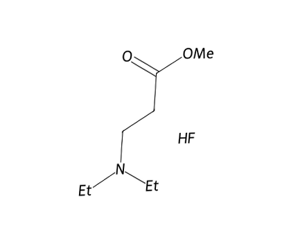 CCN(CC)CCC(=O)OC.F